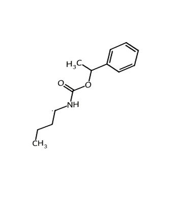 CCC[CH]NC(=O)OC(C)c1ccccc1